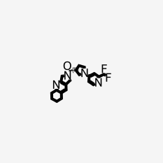 O=C([C@@H]1CCN(c2ccnc(C(F)F)c2)C1)N1Cc2cc3c(nc2C1)CCCC3